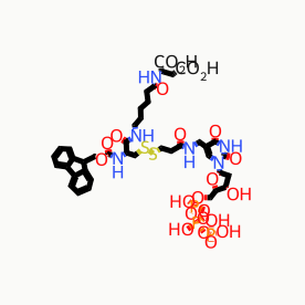 O=C(O)CC(NC(=O)CCCCCNC(=O)C(CSSCCC(=O)NCc1cn(C2CC(O)C(COP(=O)(O)OP(=O)(O)OP(=O)(O)O)O2)c(=O)[nH]c1=O)NC(=O)OCC1c2ccccc2-c2ccccc21)C(=O)O